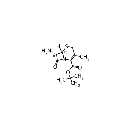 CC1=C(C(=O)OC(C)(C)C)N2C(=O)[C@H](N)[C@@H]2SC1